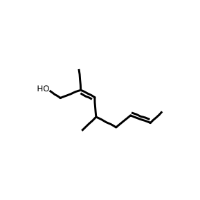 CC=CCC(C)C=C(C)CO